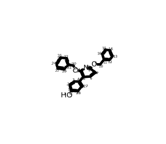 Oc1ccc(-c2ccc(OCc3ccccc3)nc2OCc2ccccc2)cc1